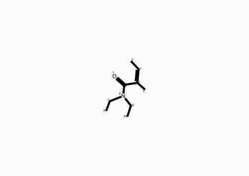 CC=C(C)C(=O)N(CC)CC